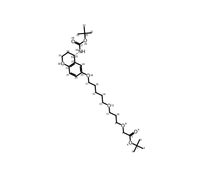 CC(C)(C)OC(=O)COCCCOCCCCCOc1ccc2c(c1)[C@@H](NC(=O)OC(C)(C)C)CCO2